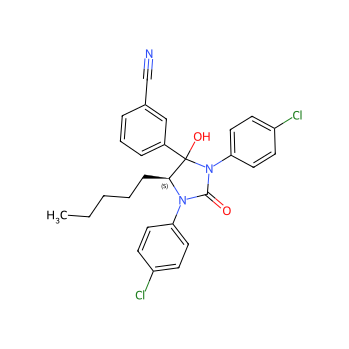 CCCCC[C@@H]1N(c2ccc(Cl)cc2)C(=O)N(c2ccc(Cl)cc2)C1(O)c1cccc(C#N)c1